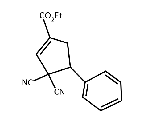 CCOC(=O)C1=CC(C#N)(C#N)C(c2ccccc2)C1